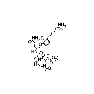 CC(=O)N1CC[C@H]2CC[C@@H](C(=O)N[C@@H](CCC(N)=O)COc3cccc(CCCCCC(N)=O)c3F)N2C(=O)[C@@H](NC(=O)OC(C)(C)C)C1